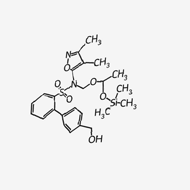 Cc1noc(N(COC(C)O[Si](C)(C)C)S(=O)(=O)c2ccccc2-c2ccc(CO)cc2)c1C